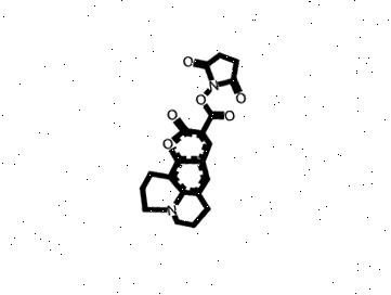 O=C(ON1C(=O)CCC1=O)c1cc2cc3c4c(c2oc1=O)CCCN4CCC3